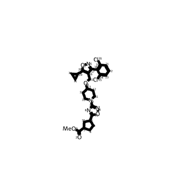 COC(=O)C1CCC(c2nc(N3CCC(OCc4c(-c5c(Cl)cccc5Cl)noc4C4CC4)CC3)no2)C1